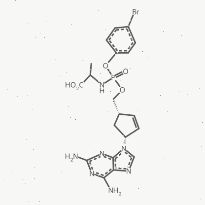 CC(NP(=O)(OC[C@@H]1C=C[C@H](n2cnc3c(N)nc(N)nc32)C1)Oc1ccc(Br)cc1)C(=O)O